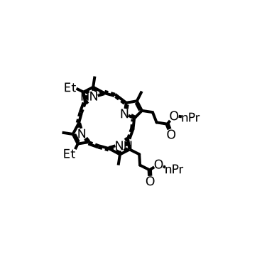 CCCOC(=O)CCC1=C(C)c2cc3[nH]c(cc4nc(cc5[nH]c(cc1n2)c(CCC(=O)OCCC)c5C)C(CC)=C4C)c(CC)c3C